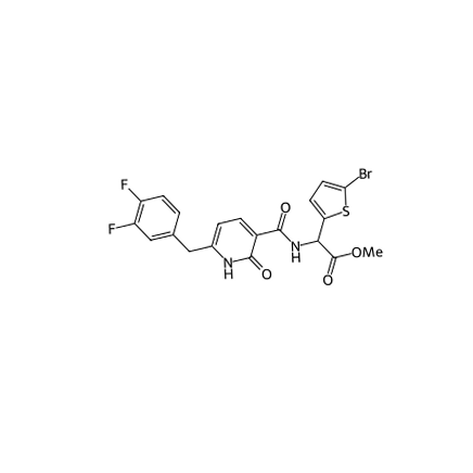 COC(=O)C(NC(=O)c1ccc(Cc2ccc(F)c(F)c2)[nH]c1=O)c1ccc(Br)s1